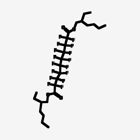 CCCCC(CC)COC(=O)C(F)(F)C(F)(F)C(F)(F)C(F)(F)C(F)(F)C(F)(F)C(F)(F)C(F)(F)C(=O)OCC(CC)CCCC